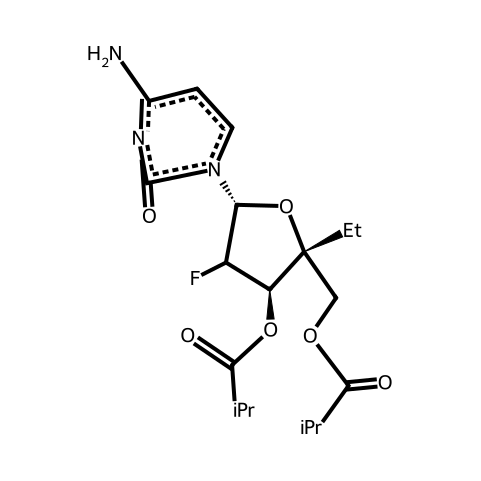 CC[C@]1(COC(=O)C(C)C)O[C@@H](n2ccc(N)nc2=O)C(F)[C@@H]1OC(=O)C(C)C